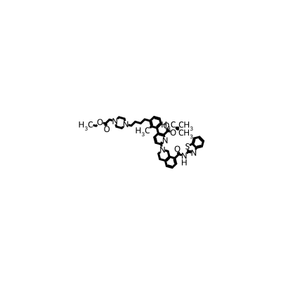 CCOC(=O)CN1CCN(CCCCc2cccc(-c3ccc(N4CCc5cccc(C(=O)Nc6nc7ccccc7s6)c5C4)nc3C(=O)OC(C)(C)C)c2C)CC1